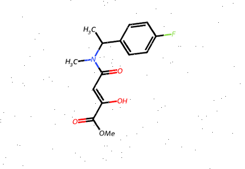 COC(=O)/C(O)=C/C(=O)N(C)C(C)c1ccc(F)cc1